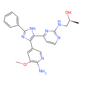 COc1cc(-c2nc(-c3ccccc3)[nH]c2-c2ccnc(NC[C@H](C)O)n2)cnc1N